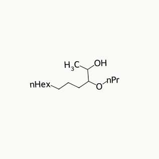 [CH2]CCOC(CCCCCCCCC)C(C)O